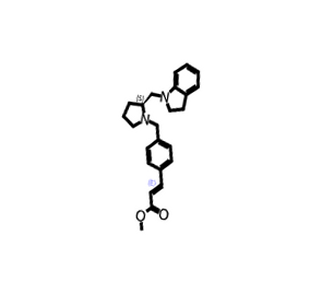 COC(=O)/C=C/c1ccc(CN2CCC[C@H]2CN2CCc3ccccc32)cc1